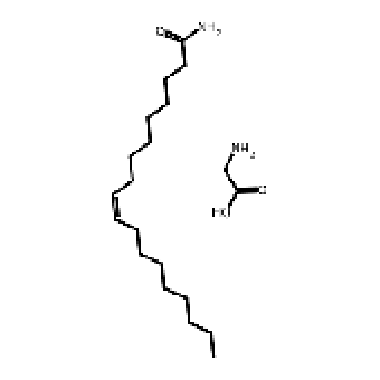 CCCCCCCC/C=C\CCCCCCCC(N)=O.NCC(=O)O